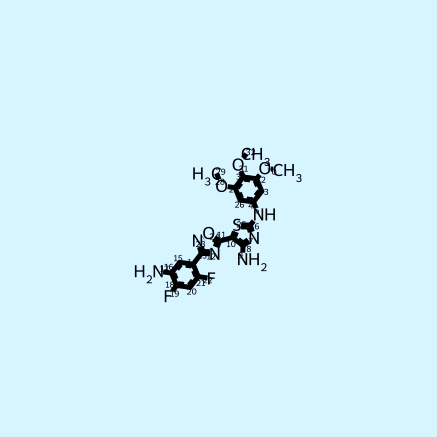 COc1cc(Nc2nc(N)c(-c3nc(-c4cc(N)c(F)cc4F)no3)s2)cc(OC)c1OC